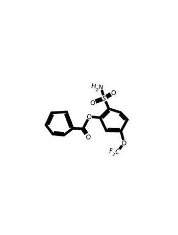 NS(=O)(=O)c1ccc(OC(F)(F)F)cc1OC(=O)c1ccccc1